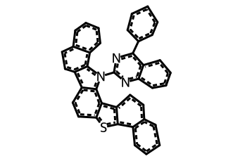 c1ccc(-c2nc(-n3c4c5ccccc5ccc4c4ccc5sc6c7ccccc7ccc6c5c43)nc3ccccc23)cc1